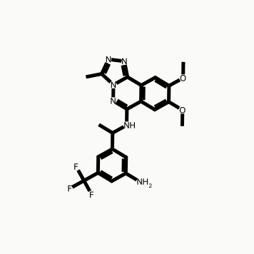 COc1cc2c(NC(C)c3cc(N)cc(C(F)(F)F)c3)nn3c(C)nnc3c2cc1OC